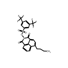 CCCCc1ccc2c3c(cccc13)C(=O)N(OS(=O)(=O)c1cc(C(F)(F)F)cc(C(F)(F)F)c1)C2=O